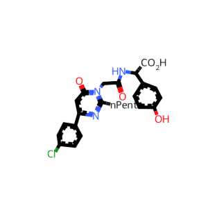 CCCCCc1nc(-c2ccc(Cl)cc2)cc(=O)n1CC(=O)NC(C(=O)O)c1ccc(O)cc1